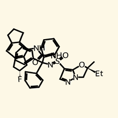 CC[C@@]1(C)Cn2ncc(S(=O)(=NC(c3ccccc3)(c3ccccc3)c3ccccc3)NC(=O)Nc3c4c(cc5c3C[C@H](F)C5)CCC4)c2O1